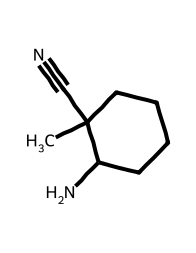 CC1(C#N)CCCCC1N